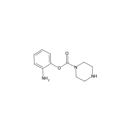 Nc1ccccc1OC(=O)N1CCNCC1